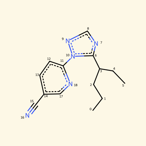 CCCC(CC)c1ncnn1-c1ccc(C#N)cn1